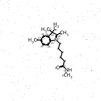 CNC(=O)CCCCC[N+]1=C(C)C(C)(C)c2cc(C)ccc21